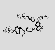 COCCOc1cc2c(N3CCC(NCc4ccc(OC)cc4)CC3)cnnc2cc1OC